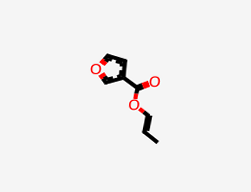 CC=COC(=O)c1ccoc1